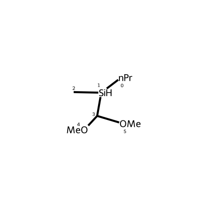 CCC[SiH](C)C(OC)OC